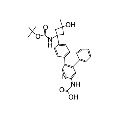 CC1(O)CC(NC(=O)OC(C)(C)C)(c2ccc(-c3cnc(NC(=O)O)cc3-c3ccccc3)cc2)C1